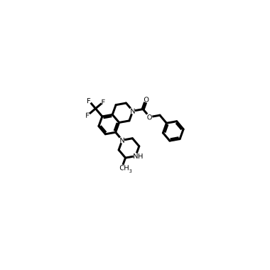 CC1CN(c2ccc(C(F)(F)F)c3c2CN(C(=O)OCc2ccccc2)CC3)CCN1